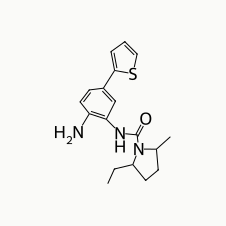 CCC1CCC(C)N1C(=O)Nc1cc(-c2cccs2)ccc1N